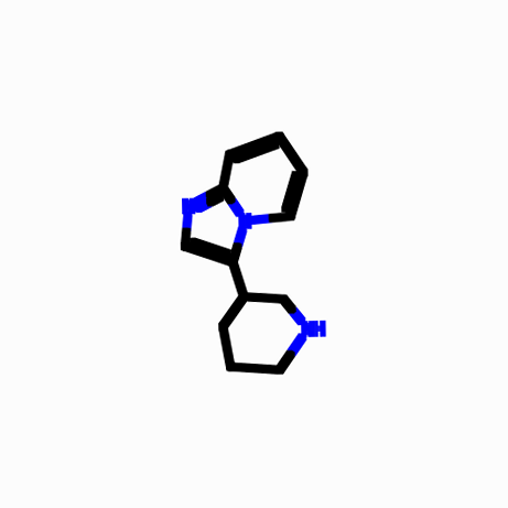 c1ccn2c(C3CCCNC3)cnc2c1